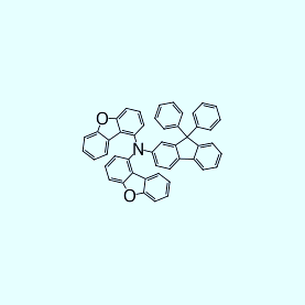 c1ccc(C2(c3ccccc3)c3ccccc3-c3ccc(N(c4cccc5oc6ccccc6c45)c4cccc5oc6ccccc6c45)cc32)cc1